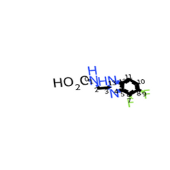 O=C(O)NCc1nc2c(F)c(F)ccc2[nH]1